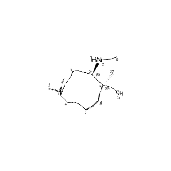 CN[C@@H]1CN(C)CCC[C@]1(C)O